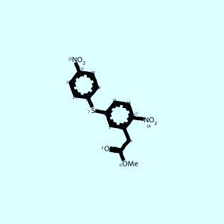 COC(=O)Cc1cc(Sc2ccc([N+](=O)[O-])cc2)ccc1[N+](=O)[O-]